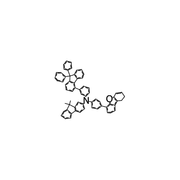 CC1(C)c2ccccc2-c2ccc(N(c3ccc(-c4cccc5c6c(oc45)C=CCC6)cc3)c3cccc(-c4cccc5c4-c4ccccc4C5(c4ccccc4)c4ccccc4)c3)cc21